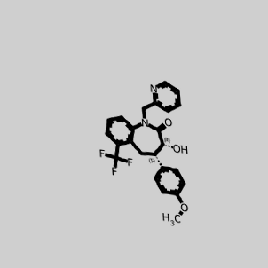 COc1ccc([C@@H]2Cc3c(cccc3C(F)(F)F)N(Cc3ccccn3)C(=O)[C@@H]2O)cc1